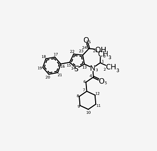 CC(C)N(C(=O)CC1CCCCC1)c1sc(-c2ccccc2)cc1C(=O)O